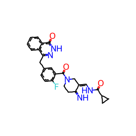 N=C1CCN(C(=O)c2cc(Cc3n[nH]c(=O)c4ccccc34)ccc2F)C/C1=C/NC(=O)C1CC1